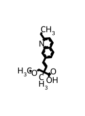 CCc1ccc2ccc(/C=C/[C@@](C)(COC)C(=O)O)cc2n1